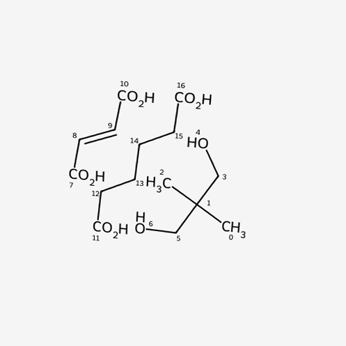 CC(C)(CO)CO.O=C(O)C=CC(=O)O.O=C(O)CCCCC(=O)O